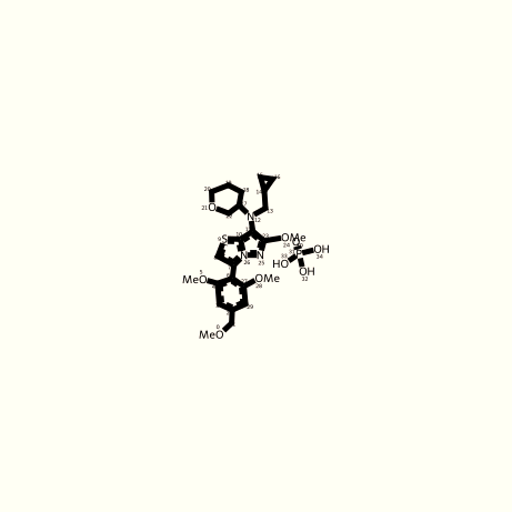 COCc1cc(OC)c(-c2csc3c(N(CC4CC4)C4CCCOC4)c(OC)nn23)c(OC)c1.O=P(O)(O)O